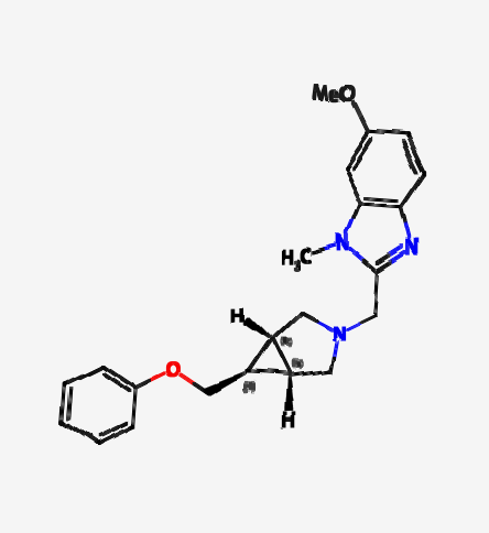 COc1ccc2nc(CN3C[C@@H]4[C@@H](COc5ccccc5)[C@@H]4C3)n(C)c2c1